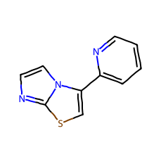 c1ccc(-c2csc3nccn23)nc1